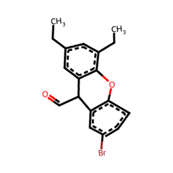 CCc1cc(CC)c2c(c1)C(C=O)c1cc(Br)ccc1O2